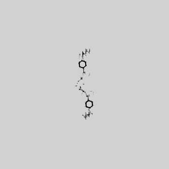 C[N+](C)(CCOC(=O)c1ccc(N=[N+]=[N-])cc1)CCOC(=O)c1ccc(N=[N+]=[N-])cc1